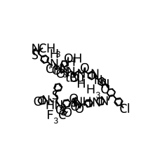 Cc1ncsc1-c1ccc([C@H](C)NC(=O)[C@@H]2C[C@@H](O)CN2C(=O)[C@@H](NC(=O)CNC(=O)c2ccc(N3CCN(CC4(C)CCC(c5ccc(Cl)cc5)=C(CN5CCN(c6ccc(C(=O)NS(=O)(=O)c7ccc(N[C@H](CCN8CCOCC8)CSc8ccccc8)c(S(=O)(=O)C(F)(F)F)c7)cc6)CC5)C4)CC3)nc2)C(C)(C)C)cc1